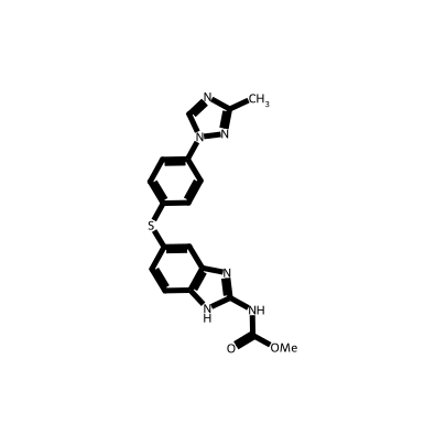 COC(=O)Nc1nc2cc(Sc3ccc(-n4cnc(C)n4)cc3)ccc2[nH]1